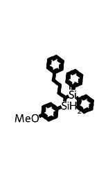 COc1ccc([SiH2]C(CCCc2ccccc2)[SiH](c2ccccc2)c2ccccc2)cc1